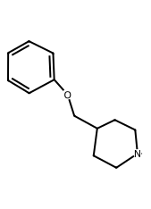 c1ccc(OCC2CC[N]CC2)cc1